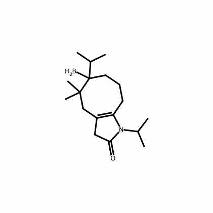 BC1(C(C)C)CCCC2=C(CC(=O)N2C(C)C)CC1(C)C